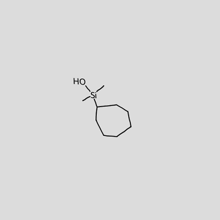 C[Si](C)(O)C1CCCCCC1